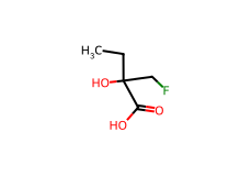 CCC(O)(CF)C(=O)O